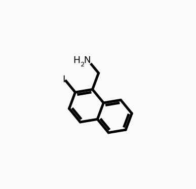 NCc1c(I)ccc2ccccc12